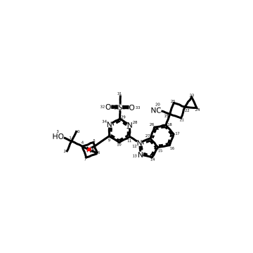 CC(C)(O)C12CC(C1)N(c1cc(-n3ncc4ccc(C5(C#N)CC6(CC6)C5)cc43)nc(S(C)(=O)=O)n1)C2